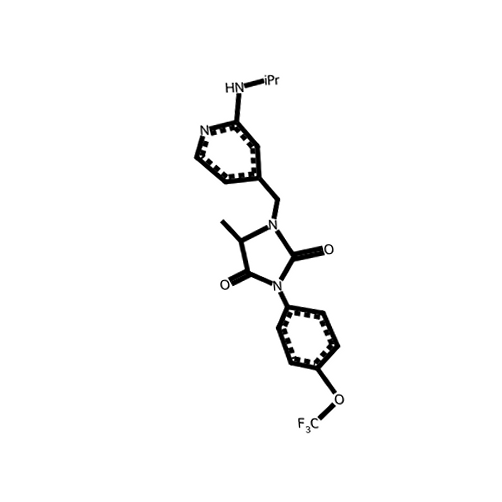 CC(C)Nc1cc(CN2C(=O)N(c3ccc(OC(F)(F)F)cc3)C(=O)C2C)ccn1